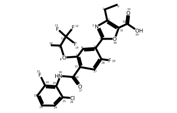 CCc1nc(-c2cc(OC(C)C(F)(F)F)c(C(=O)Nc3c(F)cccc3Cl)cc2F)oc1C(=O)O